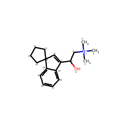 C[N+](C)(C)CC(O)C1=CC2(CCCC2)c2ccccc21